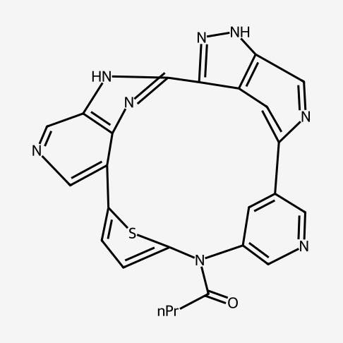 CCCC(=O)n1c2cncc(c2)c2cc3c(cn2)[nH]nc3c2nc3c(cncc3c3ccc1s3)[nH]2